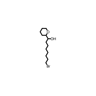 OC(CCCCCCCBr)C1CCCCO1